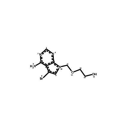 Nc1ncnc2c1c(Br)cn2COCCO